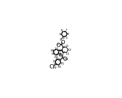 O=C(OCc1ccccc1)C1CCCc2c1c1ccccc1n2C(=O)c1ccc(Cl)cc1